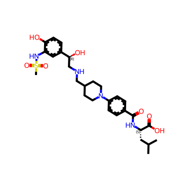 CC(C)C[C@H](NC(=O)c1ccc(N2CCC(CNC[C@H](O)c3ccc(O)c(NS(C)(=O)=O)c3)CC2)cc1)C(=O)O